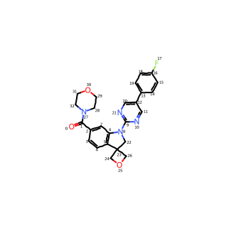 O=C(c1ccc2c(c1)N(c1ncc(-c3ccc(F)cc3)cn1)CC21COC1)N1CCOCC1